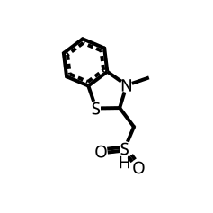 CN1c2ccccc2SC1C[SH](=O)=O